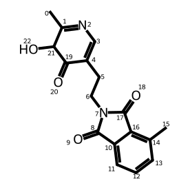 CC1=NC=C(CCN2C(=O)c3cccc(C)c3C2=O)C(=O)C1O